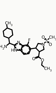 CCOC(=O)C1CN(S(C)(=O)=O)CC1c1ccc2[nH]c(C(N)C3CCC(C)CC3)nc2c1F